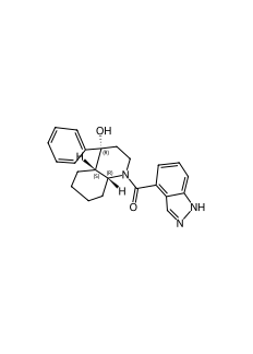 O=C(c1cccc2[nH]ncc12)N1CC[C@](O)(c2ccccc2)[C@H]2CCCC[C@H]21